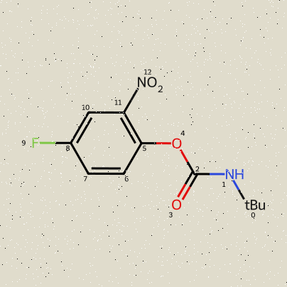 CC(C)(C)NC(=O)Oc1ccc(F)cc1[N+](=O)[O-]